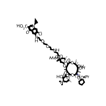 CO[C@]1(C)CC(O[C@H]2[C@H](C)[C@@H](OC3O[C@H](C)C[C@H](N(C)C)[C@H]3O)[C@](C)(O)C[C@@H](C)/C(=N\OC3(OC(C)C)CCCCC3)[C@H](C)[C@@H](O)[C@](C)(O)[C@@H](I)OC(=O)[C@@H]2C)O[C@@H](C)[C@@H]1OC(=O)CCNCCOCCOCCNc1cc2c(=O)c(C(=O)O)cn(C3CC3)c2cc1Cl